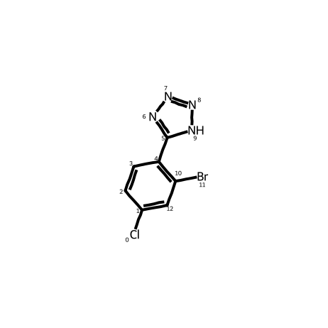 Clc1ccc(-c2nnn[nH]2)c(Br)c1